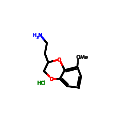 COc1cccc2c1OC(CCN)CO2.Cl